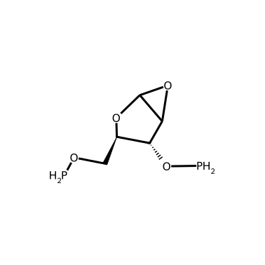 POC[C@H]1OC2OC2[C@@H]1OP